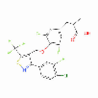 CC(Cc1cc(F)c(OCc2c(-c3ccc(Cl)c(F)c3)nsc2C(F)(F)F)c(F)c1)C(=O)O